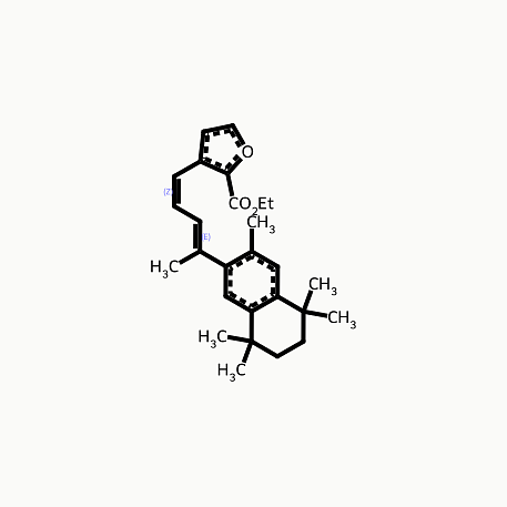 CCOC(=O)c1occc1/C=C\C=C(/C)c1cc2c(cc1C)C(C)(C)CCC2(C)C